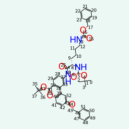 CC(C)(C)OC(=O)N[C@@H](CCCCNC(=O)OCc1ccccc1)C(=O)Nc1ccc(C(=O)OC(C)(C)C)c(-c2cccc(OCc3ccccc3)c2)c1